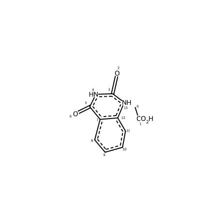 CC(=O)O.O=c1[nH]c(=O)c2ccccc2[nH]1